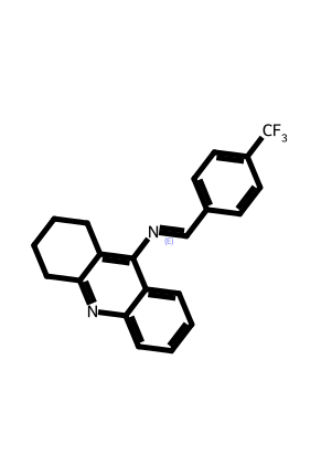 FC(F)(F)c1ccc(/C=N/c2c3c(nc4ccccc24)CCCC3)cc1